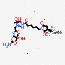 CCC(CC)(SC)C1CC(=O)N(CCCCCC(=O)NCC(C)(O)N(C)[C@@H](C)C(=O)N[C@@H](CC(N)=O)C(C)(C)O)C1=O